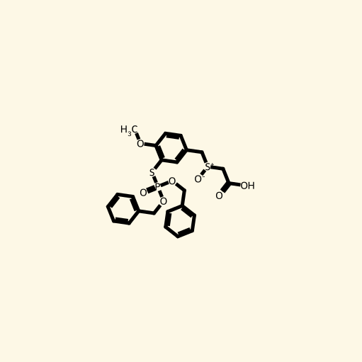 COc1ccc(C[S+]([O-])CC(=O)O)cc1SP(=O)(OCc1ccccc1)OCc1ccccc1